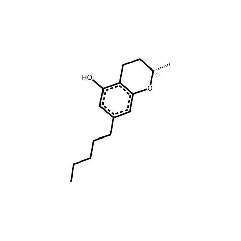 CCCCCc1cc(O)c2c(c1)O[C@@H](C)CC2